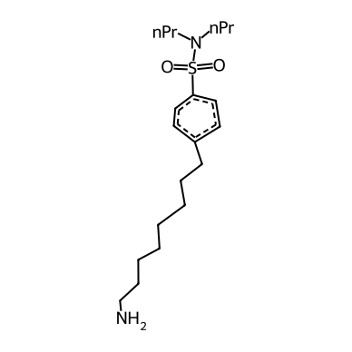 CCCN(CCC)S(=O)(=O)c1ccc(CCCCCCCCN)cc1